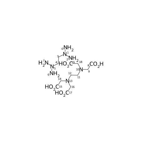 NN(N)CCN(N)N.O=C(O)CN(CCN(CC(=O)O)CC(=O)O)CC(=O)O